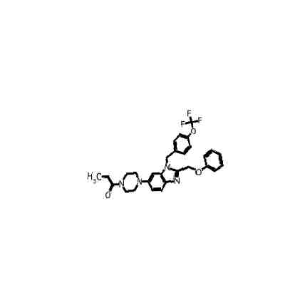 CCC(=O)N1CCN(c2ccc3nc(COc4ccccc4)n(Cc4ccc(OC(F)(F)F)cc4)c3c2)CC1